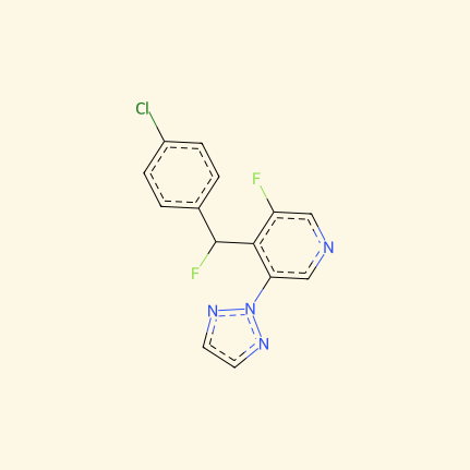 Fc1cncc(-n2nccn2)c1C(F)c1ccc(Cl)cc1